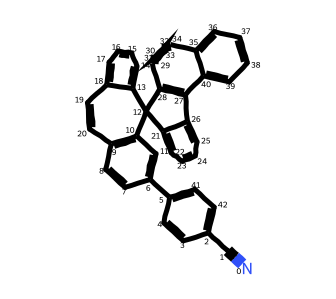 N#Cc1ccc(-c2ccc3c(c2)C2(c4ccccc4C=C3)c3ccccc3-c3c2c2ccccc2c2ccccc32)cc1